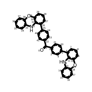 O=C(c1ccc(-c2cccc3c2Nc2ccccc2O3)cc1)c1ccc(-c2cccc3c2Nc2ccccc2O3)cc1